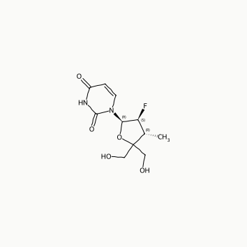 C[C@H]1[C@H](F)[C@H](n2ccc(=O)[nH]c2=O)OC1(CO)CO